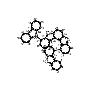 c1ccc2c(c1)oc1cccc(-c3cccc4sc5ccc6oc7c(-n8c9ccccc9c9ccccc98)cccc7c6c5c34)c12